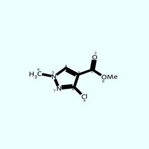 COC(=O)c1cn(C)nc1Cl